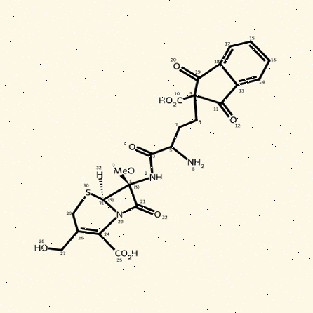 CO[C@@]1(NC(=O)C(N)CCC2(C(=O)O)C(=O)c3ccccc3C2=O)C(=O)N2C(C(=O)O)=C(CO)CS[C@H]21